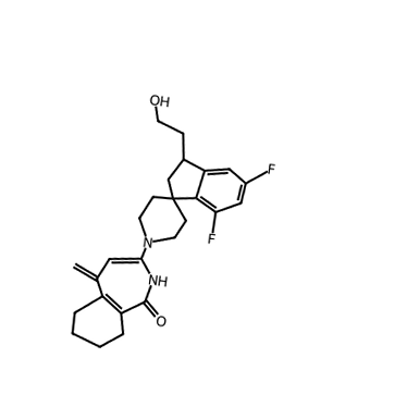 C=C1C=C(N2CCC3(CC2)CC(CCO)c2cc(F)cc(F)c23)NC(=O)C2=C1CCCC2